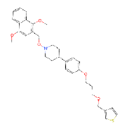 COc1cc(CON2CCC(c3ccc(OCCCOCc4ccsc4)cc3)CC2)c(OC)c2ccccc12